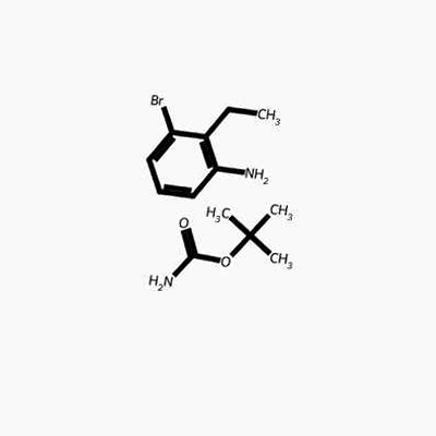 CC(C)(C)OC(N)=O.CCc1c(N)cccc1Br